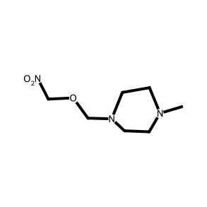 CN1CCN(COC[N+](=O)[O-])CC1